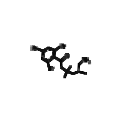 CC(CP)CC(C)(C)CC(=O)c1c(C(C)C)cc(C(C)C)cc1C(C)C